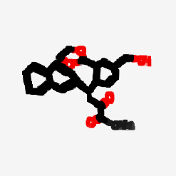 COC(=O)C(=O)C[C@@H](c1ccc2ccccc2c1)c1ccc(CO)cc1C1OCCO1